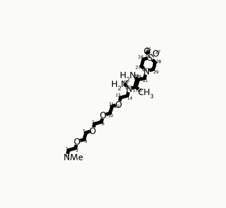 CNCCOCCOCCOCCOCCN(N)/C(C)=C(\N)CN1CCS(=O)(=O)CC1